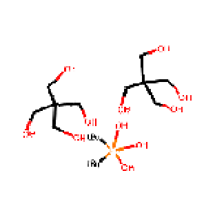 CC(C)(C)P(O)(O)(O)C(C)(C)C.OCC(CO)(CO)CO.OCC(CO)(CO)CO